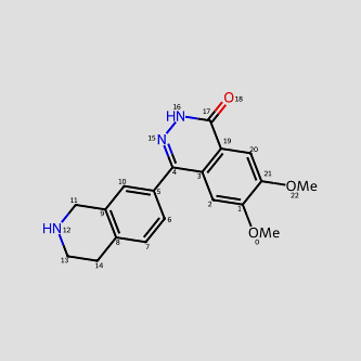 COc1cc2c(-c3ccc4c(c3)CNCC4)n[nH]c(=O)c2cc1OC